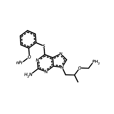 CCCOc1ccccc1Sc1nc(N)nc2c1ncn2CC(C)OCP